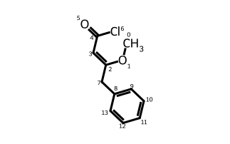 CO/C(=C\C(=O)Cl)Cc1ccccc1